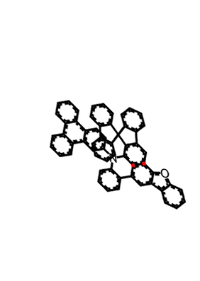 c1ccc(N(c2ccc3c4ccccc4c4ccccc4c3c2)c2cccc3c2C2(c4ccccc4-c4ccccc42)c2ccccc2-3)c(-c2ccc3oc4ccccc4c3c2)c1